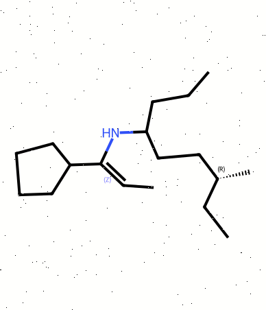 C/C=C(\NC(CCC)CC[C@H](C)CC)C1CCCC1